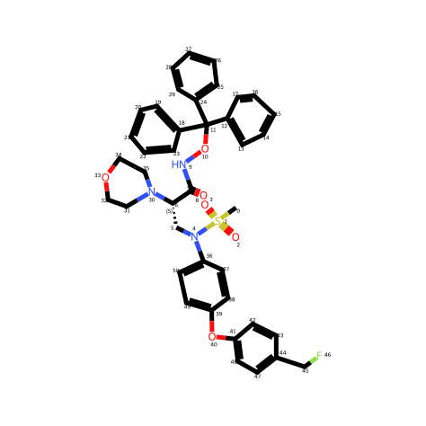 CS(=O)(=O)N(C[C@@H](C(=O)NOC(c1ccccc1)(c1ccccc1)c1ccccc1)N1CCOCC1)c1ccc(Oc2ccc(CF)cc2)cc1